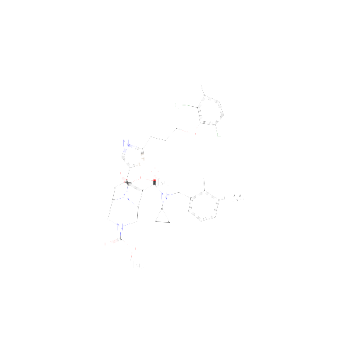 COc1cccc(CN(C(=O)C2=C(c3cnc(CCCOc4c(F)ccc(C)c4Cl)s3)CC3CN(C(=O)OC(C)(C)C)CC2N3C(=O)OC(C)(C)C)C2CC2)c1C